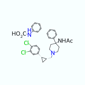 CC(=O)NC1(c2ccccc2)CCN(C[C@@H]2C[C@@H]2c2ccc(Cl)c(Cl)c2)CC1.O=C(O)Nc1ccccc1